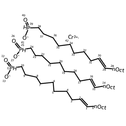 CCCCCCCCC=CCCCCCCCC[PH](=O)[O-].CCCCCCCCC=CCCCCCCCC[PH](=O)[O-].CCCCCCCCC=CCCCCCCCC[PH](=O)[O-].[Cr+3]